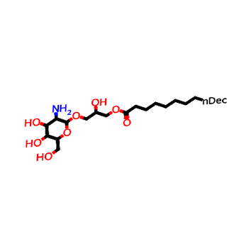 CCCCCCCCCCCCCCCCCC(=O)OCC(O)COC1OC(CO)C(O)C(O)C1N